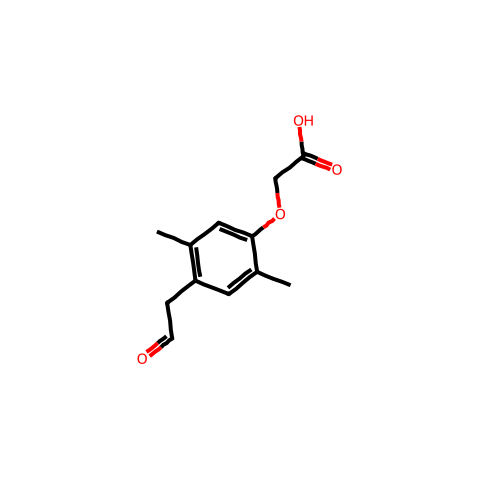 Cc1cc(OCC(=O)O)c(C)cc1CC=O